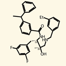 CCc1cccc(CNC[C@@](C)(O)[C@H](Cc2cc(F)cc(F)c2)NC(=O)c2cccc(C(C)c3ccccc3)c2)c1